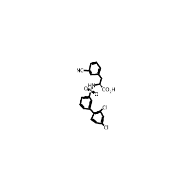 N#Cc1cccc(C[C@H](NS(=O)(=O)c2cccc(-c3ccc(Cl)cc3Cl)c2)C(=O)O)c1